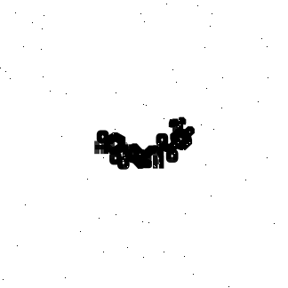 Cc1ccc(C(=O)C(=O)NCc2scc3c2CN([C@H]2CCC(=O)NC2=O)C3=O)cc1N(C)C